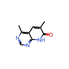 Cc1cc2c(C)ncnc2[nH]c1=O